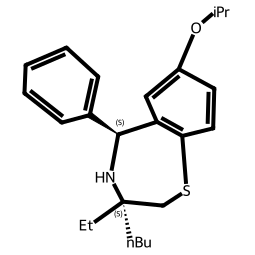 CCCC[C@@]1(CC)CSc2ccc(OC(C)C)cc2[C@H](c2ccccc2)N1